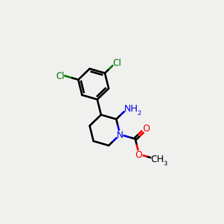 COC(=O)N1CCCC(c2cc(Cl)cc(Cl)c2)C1N